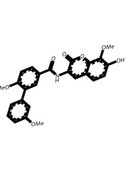 COc1cccc(-c2cc(C(=O)Nc3cc4ccc(O)c(OC)c4oc3=O)ccc2OC)c1